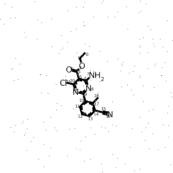 CCOC(=O)c1c(N)nc(-c2cccc(C#N)c2C)nc1Cl